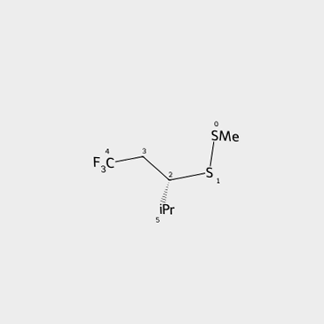 CSS[C@@H](CC(F)(F)F)C(C)C